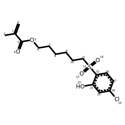 C=C(C)C(=O)OCCCCCCS(=O)(=O)c1ccc(Cl)cc1O